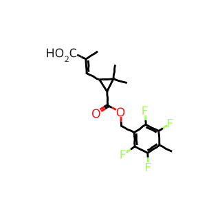 CC(=CC1C(C(=O)OCc2c(F)c(F)c(C)c(F)c2F)C1(C)C)C(=O)O